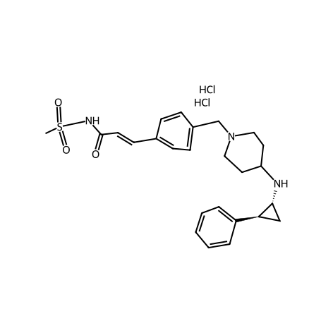 CS(=O)(=O)NC(=O)C=Cc1ccc(CN2CCC(N[C@@H]3C[C@H]3c3ccccc3)CC2)cc1.Cl.Cl